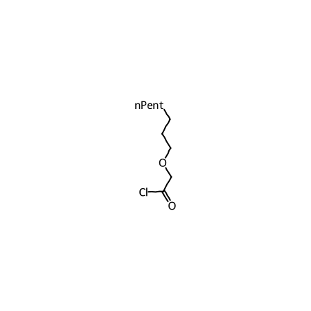 CCCCCCCCOCC(=O)Cl